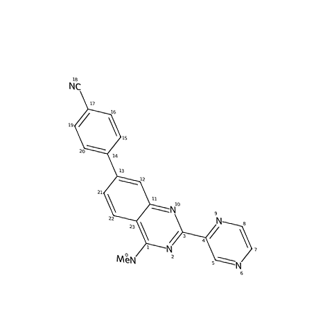 CNc1nc(-c2cnccn2)nc2cc(-c3ccc(C#N)cc3)ccc12